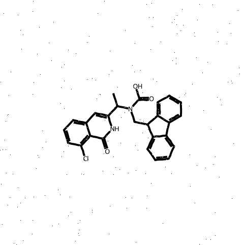 CC(c1cc2cccc(Cl)c2c(=O)[nH]1)N(CC1c2ccccc2-c2ccccc21)C(=O)O